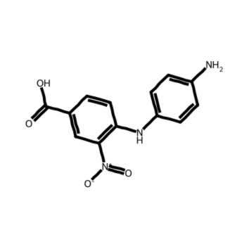 Nc1ccc(Nc2ccc(C(=O)O)cc2[N+](=O)[O-])cc1